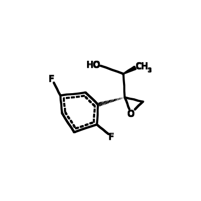 C[C@H](O)[C@@]1(c2cc(F)ccc2F)CO1